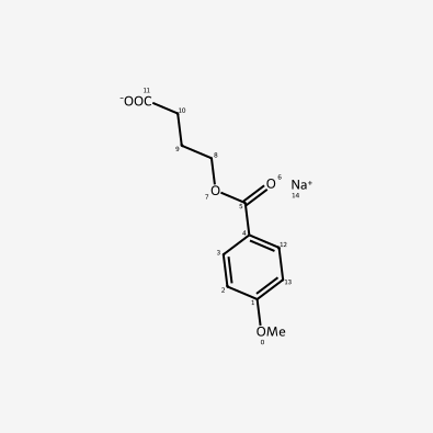 COc1ccc(C(=O)OCCCC(=O)[O-])cc1.[Na+]